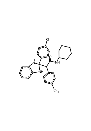 O=C(NC1CCCCC1)C(c1ccc(C(F)(F)F)cc1)C1(c2ccc(Cl)cc2)Nc2ccccc2N1